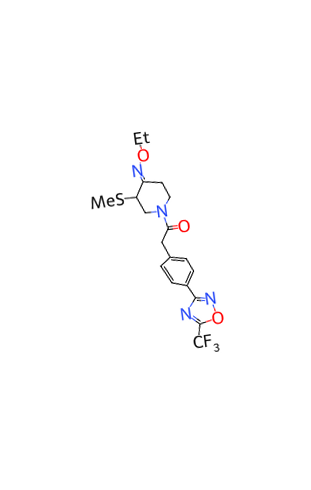 CCON=C1CCN(C(=O)Cc2ccc(-c3noc(C(F)(F)F)n3)cc2)CC1SC